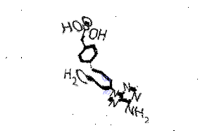 C=C/C=C(\C=C/C[C@H]1CC[C@H](CP(=O)(O)O)CC1)n1cnc2c(N)ncnc21